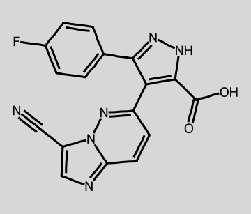 N#Cc1cnc2ccc(-c3c(-c4ccc(F)cc4)n[nH]c3C(=O)O)nn12